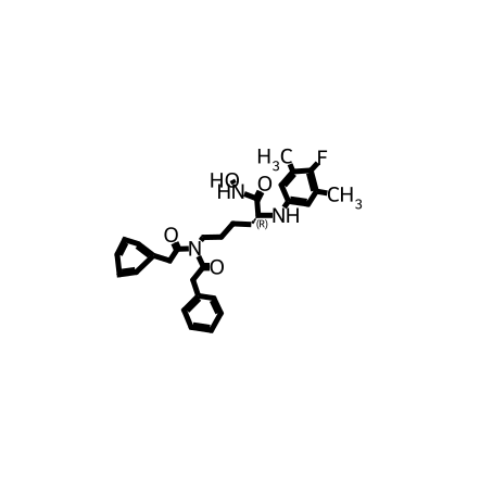 Cc1cc(N[C@H](CCCCN(C(=O)Cc2ccccc2)C(=O)Cc2ccccc2)C(=O)NO)cc(C)c1F